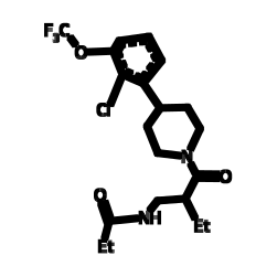 CCC(=O)NCC(CC)C(=O)N1CCC(c2cccc(OC(F)(F)F)c2Cl)CC1